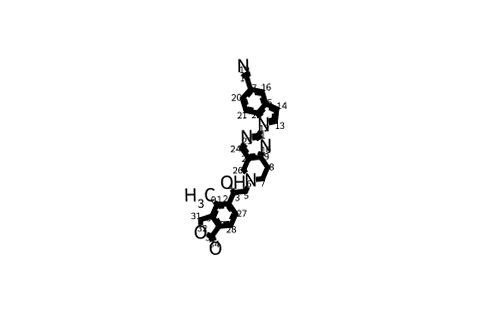 Cc1c(C(O)CN2CCc3nc(-n4ccc5cc(C#N)ccc54)ncc3C2)ccc2c1COC2=O